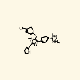 Cn1nnc(-c2ccc(-c3nc(-c4ccccn4)n(C)c3Sc3ccc(Cl)cc3)cc2)n1